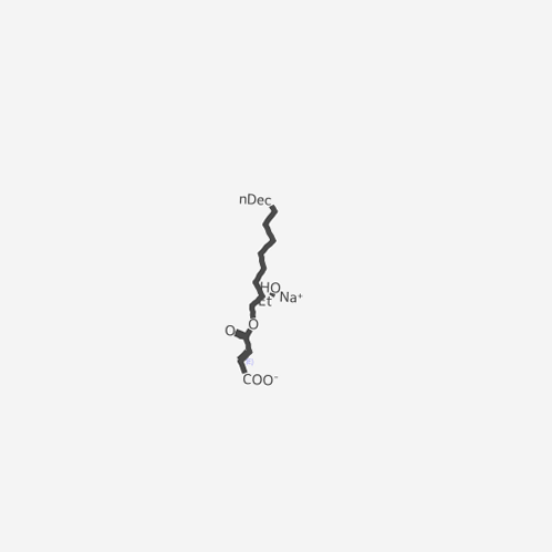 CCCCCCCCCCCCCCCCCCOC(=O)/C=C/C(=O)[O-].CCO.[Na+]